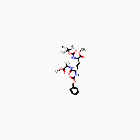 COC(=O)[C@@H](C)NC(=O)[C@H](CCC[C@@H](NC(=O)OC(C)(C)C)C(=O)OC)NC(=O)OCc1ccccc1